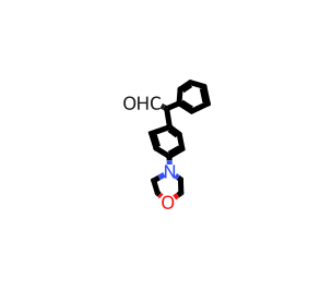 O=CC(c1ccccc1)c1ccc(N2CCOCC2)cc1